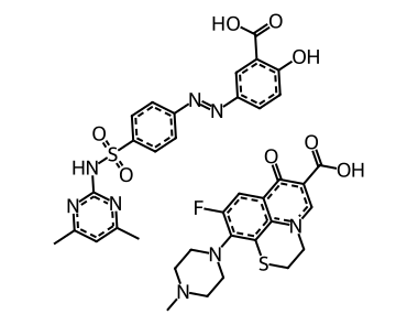 CN1CCN(c2c(F)cc3c(=O)c(C(=O)O)cn4c3c2SCC4)CC1.Cc1cc(C)nc(NS(=O)(=O)c2ccc(N=Nc3ccc(O)c(C(=O)O)c3)cc2)n1